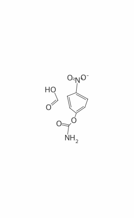 NC(=O)Oc1ccc([N+](=O)[O-])cc1.O=CO